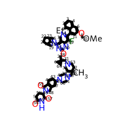 CCc1cccc2cc(OCOC)cc(-c3ncc4c(N5CC6CCC(C6)C5)nc(OCC5(CN6CCC(C)(CN7CCN(c8ccc9c(c8)CN([C@H]8CCC(=O)NC8=O)C9=O)CC7)CC6)CC5)nc4c3F)c12